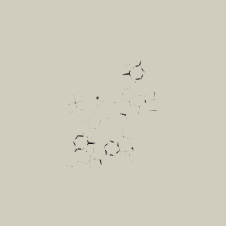 CCCCNC(=O)c1ccc(C(C)COC(=O)OC2[C@@H](COP(C)(=O)OC3[C@@H](CC)O[C@@H](n4ccc(=O)[nH]c4=O)[C@H]3O[Si](C)(C)C(C)(C)C)O[C@@H](n3ccc(=O)[nH]c3=O)[C@H]2O[Si](C(C)C)(C(C)C)C(C)C)c([N+](=O)[O-])c1